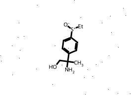 CC[S+]([O-])c1ccc(C(C)(N)CO)cc1